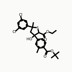 CCOC(=O)C1SC(C)(c2cc(Cl)cc(Cl)c2)CC1(O)c1ccc(C(=O)OC(C)(C)C)c(C)c1